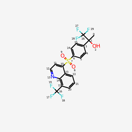 CC(O)(c1ccc(S(=O)(=O)c2ccnc3c(C(F)(F)F)cccc23)cc1)C(F)(F)F